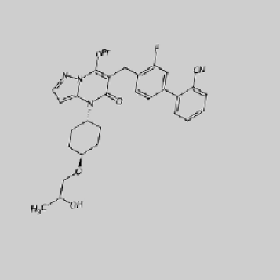 CCCc1c(Cc2ccc(-c3ccccc3C#N)cc2F)c(=O)n([C@H]2CC[C@H](OCC(C)O)CC2)c2ccnn12